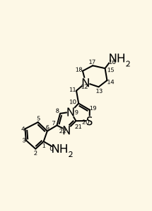 Nc1ccccc1-c1cn2c(CN3CCC(N)CC3)csc2n1